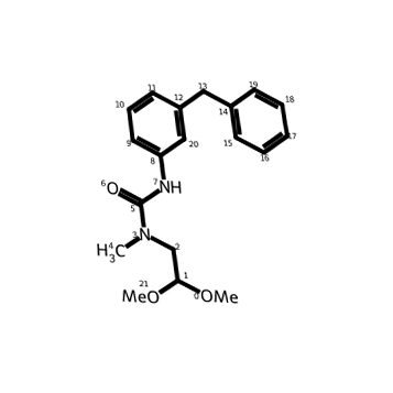 COC(CN(C)C(=O)Nc1cccc(Cc2ccccc2)c1)OC